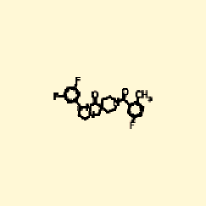 Cc1ccc(F)cc1C(=O)N1CCC2(CC1)CN1CC[C@@H](c3cc(F)cc(F)c3)N1C2=O